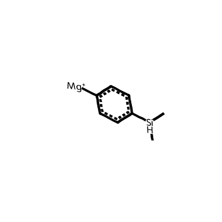 C[SiH](C)c1cc[c]([Mg+])cc1